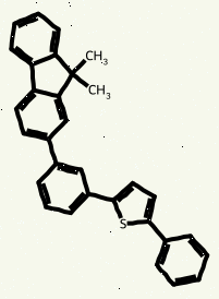 CC1(C)c2ccccc2-c2ccc(-c3cccc(-c4ccc(-c5ccccc5)s4)c3)cc21